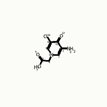 Nc1cn(CC(=O)O)cc(Cl)c1=O